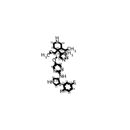 CO[C@@H](COc1cnc(N[C@H]2CNC[C@@H]2c2cc(F)ccc2F)nc1)C1(c2cnno2)CCNCC1C(C)C